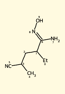 CCC(CC(C)C#N)/C(N)=N/O